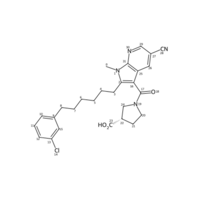 Cn1c(CCCCCCc2cccc(Cl)c2)c(C(=O)N2CC[C@H](C(=O)O)C2)c2cc(C#N)cnc21